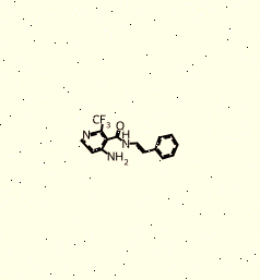 Nc1ccnc(C(F)(F)F)c1C(=O)NC=Cc1ccccc1